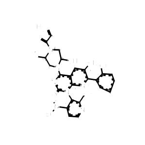 C=CC(=O)N1CC(C)N(c2nc(=O)n(-c3c(N(CC)CC)ccnc3C(C)C)c3nc(-c4ccccc4C(C)C)c(Cl)cc23)CC1C